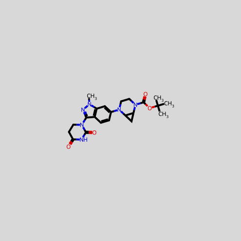 Cn1nc(N2CCC(=O)NC2=O)c2ccc(N3CCN(C(=O)OC(C)(C)C)C4CC43)cc21